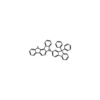 c1ccc(C2(c3ccccc3)c3ccccc3-c3ccc(-n4c5ccccc5c5c6sc7ccccc7c6ccc54)cc32)cc1